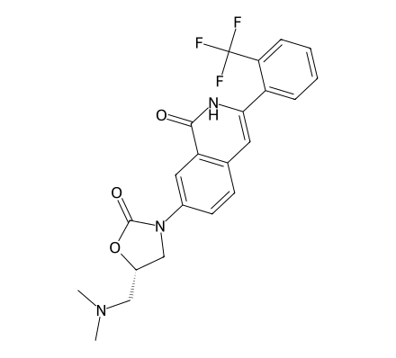 CN(C)C[C@H]1CN(c2ccc3cc(-c4ccccc4C(F)(F)F)[nH]c(=O)c3c2)C(=O)O1